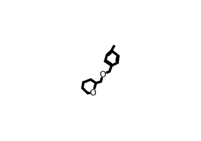 Cc1ccc(COCC2CCCCO2)cc1